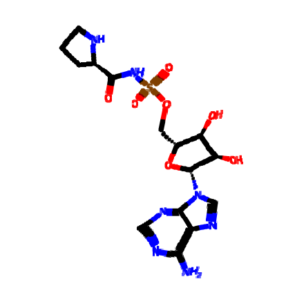 Nc1ncnc2c1ncn2[C@@H]1O[C@H](COS(=O)(=O)NC(=O)[C@H]2CCCN2)[C@@H](O)[C@H]1O